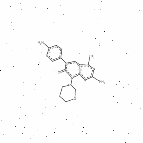 Cc1nc(N)nc2c1cc(-c1ccc(N)nc1)c(=O)n2C1CCCOC1